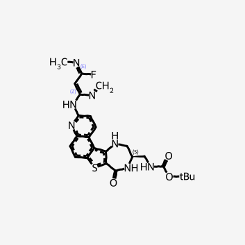 C=N/C(=C\C(F)=N/C)Nc1ccc2c(ccc3sc4c(c32)NC[C@@H](CNC(=O)OC(C)(C)C)NC4=O)n1